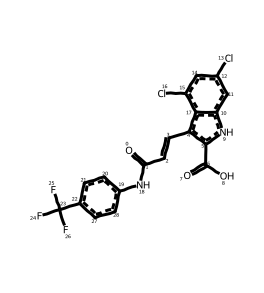 O=C(C=Cc1c(C(=O)O)[nH]c2cc(Cl)cc(Cl)c12)Nc1ccc(C(F)(F)F)cc1